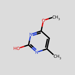 COc1cc(C)nc(O)n1